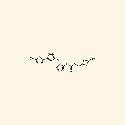 CC(C)N1CC(CNC(=O)Oc2nccn2Cc2cc(-c3ccc(Cl)s3)on2)C1